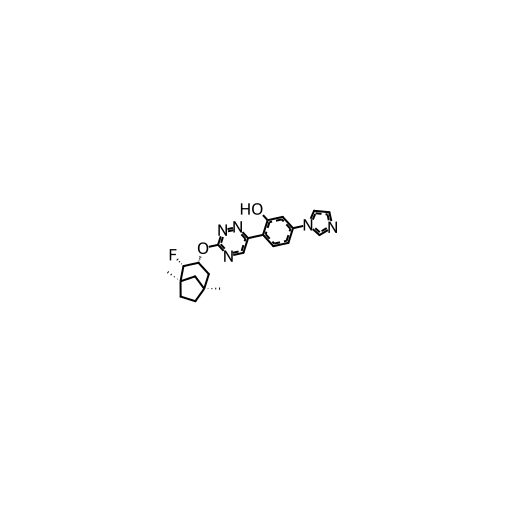 C[C@]12CC[C@](C)(C1)[C@H](F)[C@H](Oc1ncc(-c3ccc(-n4ccnc4)cc3O)nn1)C2